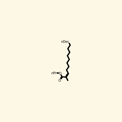 CCCCCCCCCCCCCCCCCCC=C(C)C(=O)OCCC